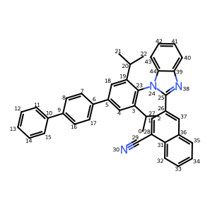 CC(C)c1cc(-c2ccc(-c3ccccc3)cc2)cc(C(C)C)c1-n1c(-c2cc(C#N)c3ccccc3c2)nc2ccccc21